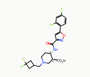 O=C(N[C@H]1CCN(CC2CC(F)(F)C2)C[C@@H]1C(=O)O)c1cc(-c2ccc(F)cc2F)on1